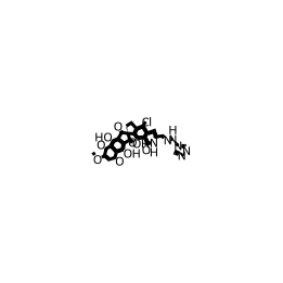 COC1=CC(=O)c2c(O)c3c(c(O)c2C1=O)C(=O)[C@]1(CCc2c1c(O)c1c(=O)[nH]c(/C=N/Nn4cnnc4)cc1c2Cl)C3=O